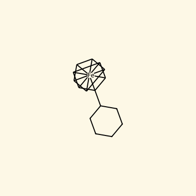 C1CCC([C]23[CH]4[CH]5[CH]6[CH]2[Fe]56432789[CH]3[CH]2[CH]7[CH]8[CH]39)CC1